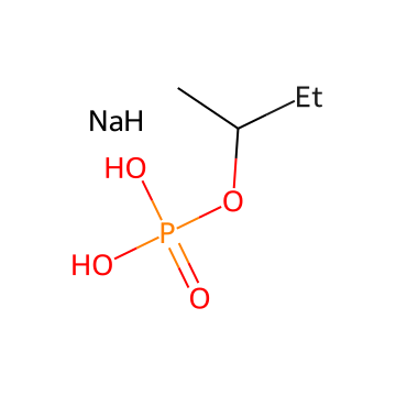 CCC(C)OP(=O)(O)O.[NaH]